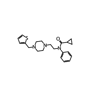 O=C(C1CC1)N(CCN1CCN(Cc2cccs2)CC1)c1ccccc1